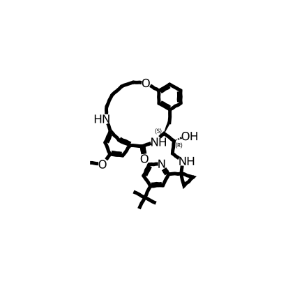 COc1cc2cc(c1)C(=O)N[C@H]([C@H](O)CNC1(c3cc(C(C)(C)C)ccn3)CC1)Cc1cccc(c1)OCCCCN2